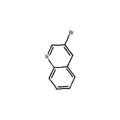 Brc1cnc2c[c]ccc2c1